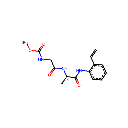 C=Cc1ccccc1NC(=O)[C@@H](C)NC(=O)CNC(=O)OC(C)(C)C